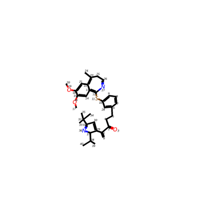 C=C(C(=O)CCc1cccc(SC2=c3cc(OC)c(OC)cc3=C(C)CC=N2)c1)C1=CC(C(C)(C)C)=NC1C(C)C